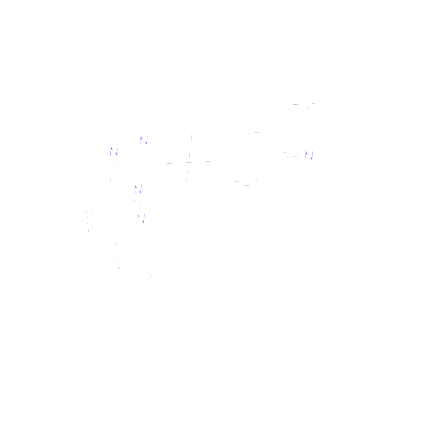 CC(=O)c1ccc2nnc(C(C)(C)c3ccc4ncccc4c3)n2n1